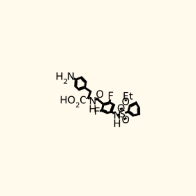 CCOc1ccccc1S(=O)(=O)Nc1cc(F)c(C(=O)N[C@@H](Cc2ccc(N)cc2)C(=O)O)c(F)c1